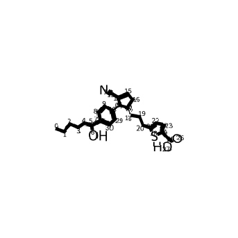 CCCCCC(O)c1ccc([C@H]2C(C#N)=CC[C@@H]2CCCc2ccc(C(=O)O)s2)cc1